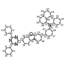 c1ccc(-c2nc(-c3ccccc3)nc(-c3ccc4c(c3)oc3cc(-c5cccc(N(c6ccccc6)c6cccc7ccccc67)c5)ccc34)n2)cc1